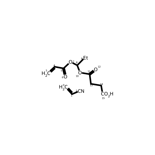 C=CC#N.C=CC(=O)OC(CC)OC(=O)CCC(=O)O